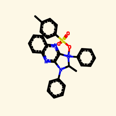 Cc1ccc(S(=O)(=O)O[N+]2(c3ccccc3)c3nc4ccccc4nc3N(c3ccccc3)C2C)cc1